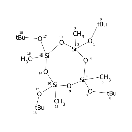 CC(C)(C)O[Si]1(C)O[Si](C)(OC(C)(C)C)O[Si](C)(OC(C)(C)C)O[Si](C)(OC(C)(C)C)O1